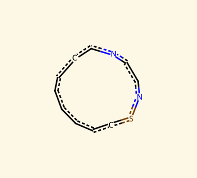 c1ccccsnccnccc1